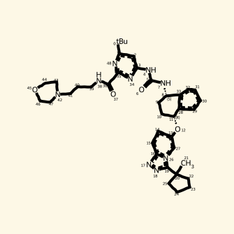 CC(C)(C)c1cc(NC(=O)N[C@H]2CC[C@@H](Oc3ccc4nnc(C5(C)CCCC5)n4c3)c3ccccc32)nc(C(=O)NCCCN2CCOCC2)n1